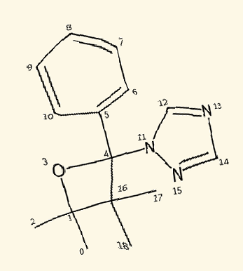 CC1(C)OC(c2ccccc2)(n2cncn2)C1(C)C